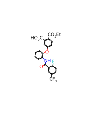 CCOC(=O)c1ccc(Oc2ccccc2NC(=O)c2cc(C(F)(F)F)ccc2F)cc1C(=O)O